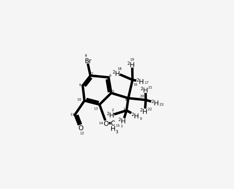 [2H]C([2H])([2H])C(c1cc(Br)cc(C=O)c1OC)(C([2H])([2H])[2H])C([2H])([2H])[2H]